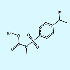 CC(Br)c1ccc(S(=O)(=O)N(C)C(=O)OC(C)(C)C)cc1